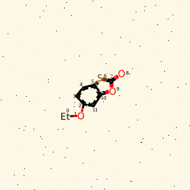 CCOc1ccc2sc(=O)oc2c1